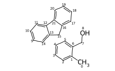 Cc1ccccc1CO.c1ccc2c(c1)Cc1ccccc1-2